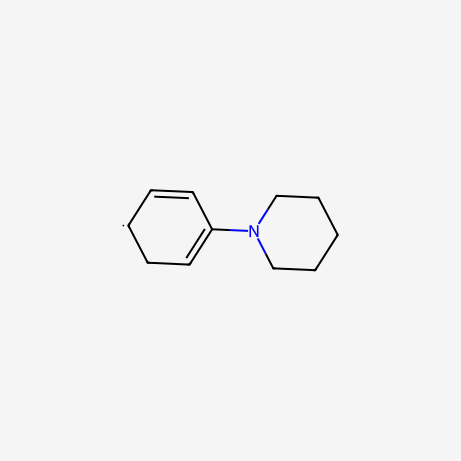 [CH]1C=CC(N2CCCCC2)=CC1